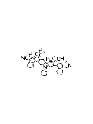 CC1(C)c2cc3c4cc5c(cc4n(-c4ccccc4)c3cc2-c2c1cc(C#N)c1ccccc21)-c1c(cc(C#N)c2ccccc12)C5(C)C